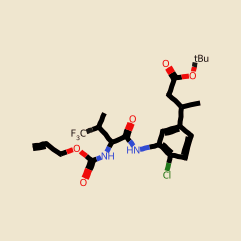 C=CCOC(=O)NC(C(=O)Nc1cc(C(C)CC(=O)OC(C)(C)C)ccc1Cl)C(C)C(F)(F)F